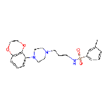 Cc1cccc(S(=O)(=O)NCCCN2CCN(c3cccc4c3OCCO4)CC2)c1